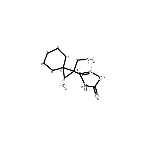 Cl.NCC1(c2noc(=O)[nH]2)CC12CCCCC2